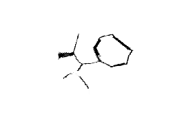 C=C(C)C(c1ccccc1)N(CC)CC